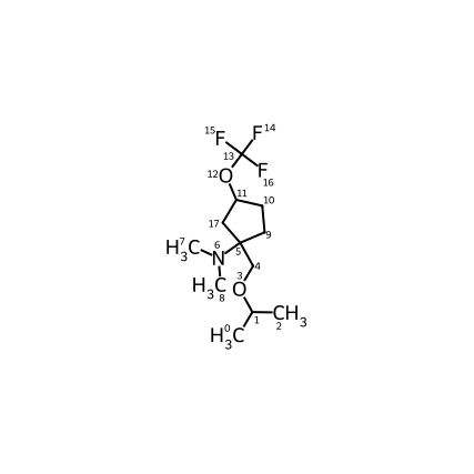 CC(C)OCC1(N(C)C)CCC(OC(F)(F)F)C1